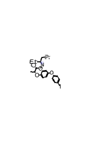 CC/C(CC(C)C)=N\OC(=O)C(C)Oc1ccc(Oc2ccc(I)cc2)cc1